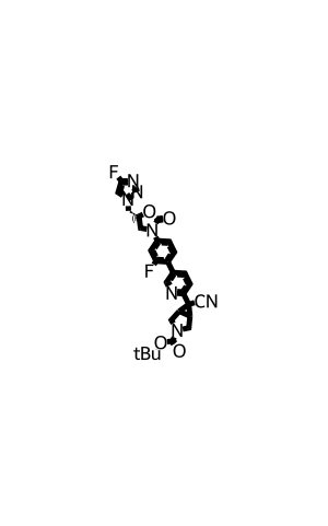 CC(C)(C)OC(=O)N1CC2C(C1)C2(C#N)c1ccc(-c2ccc(N3C[C@H](Cn4cc(F)nn4)OC3=O)cc2F)cn1